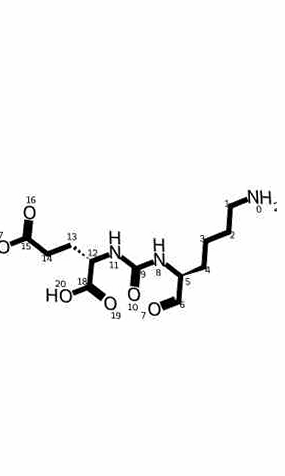 NCCCC[C@@H](C=O)NC(=O)N[C@@H](CCC(=O)O)C(=O)O